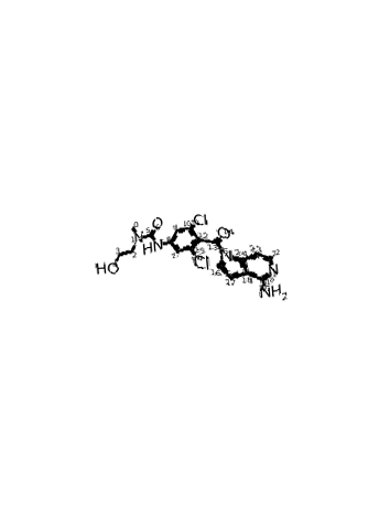 CN(CCO)C(=O)Nc1cc(Cl)c(C(=O)n2ccc3c(N)nccc32)c(Cl)c1